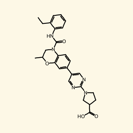 CCc1ccccc1NC(=O)N1CC(C)Oc2cc(-c3cnc(N4CCC(C(=O)O)C4)nc3)ccc21